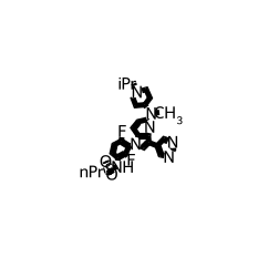 CCCS(=O)(=O)Nc1ccc(F)c(-n2cc(-c3cncnc3)c3nc(N(C)C4CCN(C(C)C)CC4)ccc32)c1F